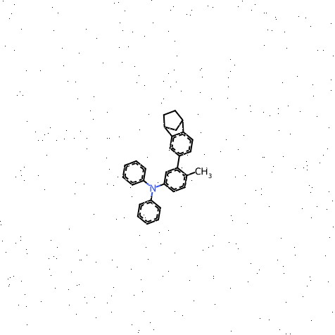 Cc1ccc(N(c2ccccc2)c2ccccc2)cc1-c1ccc2c(c1)C1CCC2C1